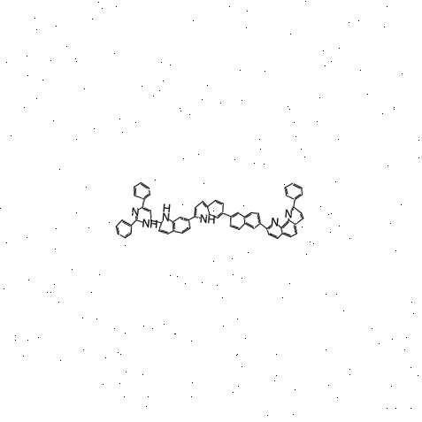 C1=CC2=CC=C(c3ccc4c(c3)NC(C3C=C(c5ccccc5)N=C(c5ccccc5)N3)C=C4)NC2C=C1c1ccc2cc(-c3ccc4ccc5ccc(-c6ccccc6)nc5c4n3)ccc2c1